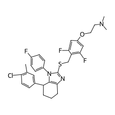 Cc1cc(C2CCCc3nc(SCc4c(F)cc(OCCN(C)C)cc4F)n(-c4ccc(F)cc4)c32)ccc1Cl